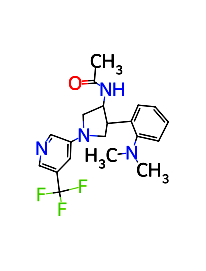 CC(=O)NC1CN(c2cncc(C(F)(F)F)c2)CC1c1ccccc1N(C)C